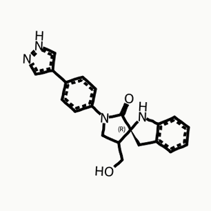 O=C1N(c2ccc(-c3cn[nH]c3)cc2)CC(CO)[C@]12Cc1ccccc1N2